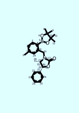 Cc1ccc(B2OC(C)(C)C(C)(C)O2)c(CN2C(=O)O[C@H](c3ccccc3)[C@@H]2C)c1